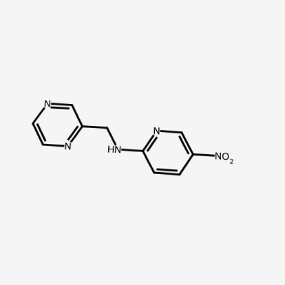 O=[N+]([O-])c1ccc(NCc2cnccn2)nc1